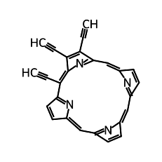 C#CC1=C(C#C)C2=C(C#C)C3=NC(=CC4=NC(=CC5=NC(=CC1=N2)C=C5)C=C4)C=C3